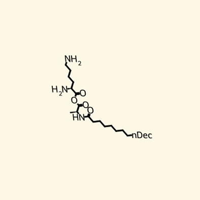 CCCCCCCCCCCCCCCCCC(=O)N[C@@H](C)C(=O)OC(=O)[C@@H](N)CCCCN